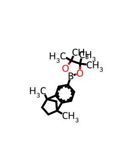 CC12CCC(C)(C1)c1cc(B3OC(C)(C)C(C)(C)O3)ccc12